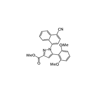 COC(=O)c1cc(-c2c(OC)cccc2OC)n(-c2ccc(C#N)c3ccccc23)n1